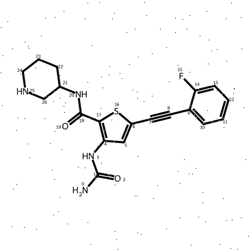 NC(=O)Nc1cc(C#Cc2ccccc2F)sc1C(=O)NC1CCCNC1